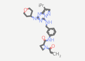 C=CC(=O)N1CCC1C(=O)Nc1cccc(CNc2nc(NC3CCOCC3)nc3c(C(C)C)cnn23)c1